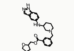 O=C(OCC1CCCO1)c1cccc(CN2CCCC(Nc3ccc4[nH]ncc4c3)C2)c1